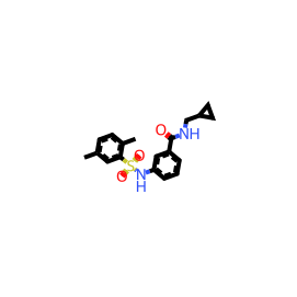 Cc1ccc(C)c(S(=O)(=O)Nc2cccc(C(=O)NCC3CC3)c2)c1